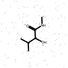 CNC(=O)C(O)C(C)C